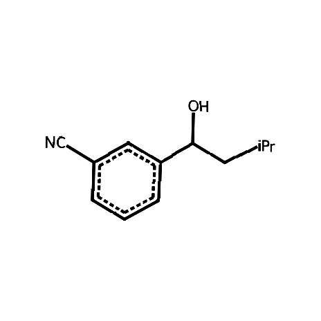 CC(C)CC(O)c1cccc(C#N)c1